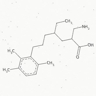 CCC(CCCc1c(C)ccc(C)c1C)CC(CN)C(=O)O